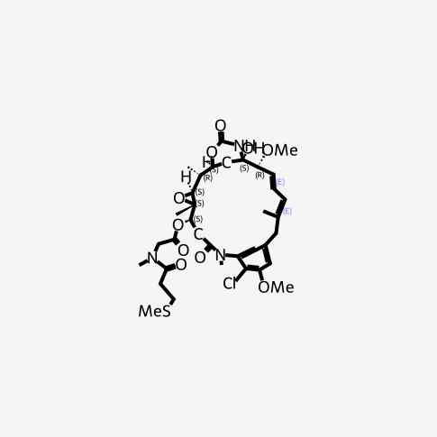 COc1cc2cc(c1Cl)N(C)C(=O)C[C@H](OC(=O)CN(C)C(=O)CCSC)[C@]1(C)O[C@H]1[C@H](C)[C@@H]1C[C@@](O)(NC(=O)O1)[C@H](OC)/C=C/C=C(\C)C2